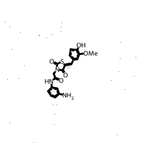 COc1cc(/C=C2\SC(=O)N(CC(=O)Nc3cccc(N)c3)C2=O)ccc1O